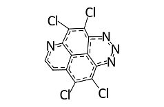 Clc1c(Cl)c2nnnc3c(Cl)c(Cl)c4nccc1c4c23